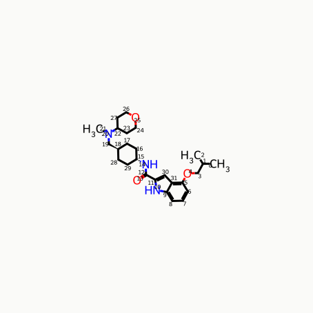 CC(C)COc1cccc2[nH]c(C(=O)N[C@H]3CC[C@H](CN(C)C4CCOCC4)CC3)cc12